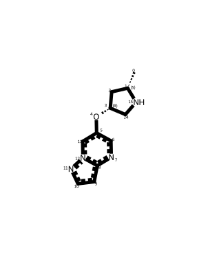 C[C@H]1C[C@@H](Oc2cnc3ccnn3c2)CN1